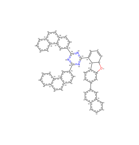 C1=CC2Oc3cc(-c4ccc5ccccc5c4)ccc3C2C(c2nc(-c3ccc4ccc5ccccc5c4c3)nc(-c3ccc4ccc5ccccc5c4c3)n2)=C1